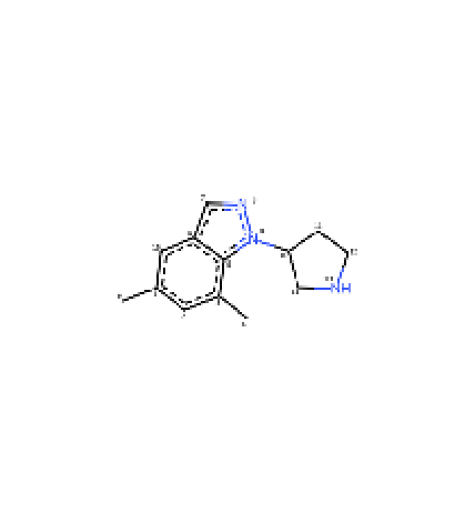 Cc1cc(C)c2c(cnn2C2CCNC2)c1